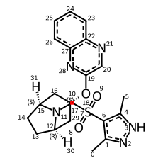 Cc1n[nH]c(C)c1S(=O)(=O)CN1[C@@H]2CC[C@H]1C[C@H](Oc1cnc3ccccc3n1)C2